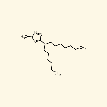 CCCCCCCC(CCCCCC)c1nnn(C)n1